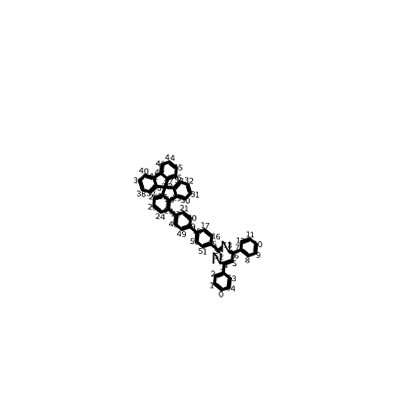 c1ccc(-c2cc(-c3ccccc3)nc(-c3ccc(-c4ccc(-c5cccc6c5-c5ccccc5C65c6ccccc6-c6ccccc65)cc4)cc3)n2)cc1